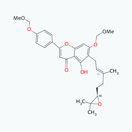 COCOc1ccc(-c2cc(=O)c3c(O)c(C/C=C(\C)CC[C@H]4OC4(C)C)c(OCOC)cc3o2)cc1